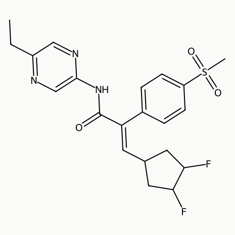 CCc1cnc(NC(=O)/C(=C/C2CC(F)C(F)C2)c2ccc(S(C)(=O)=O)cc2)cn1